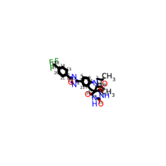 C[C@@H]1CN2c3ccc(-c4noc(-c5ccc(C(F)(F)F)cc5)n4)cc3CC3(C(=O)NC(=O)NC3=O)[C@H]2[C@H](C)O1